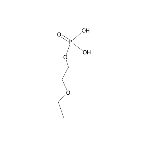 CCOCCOP(=O)(O)O